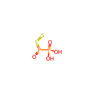 O=P(=S=S)P(=O)(O)O